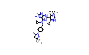 COc1ncnc(C2CC2)c1-c1nc(N(Cc2ccc(-n3nc(C(F)(F)F)cc3C)cc2)C2CC2)c2[nH]c(C)nc2n1